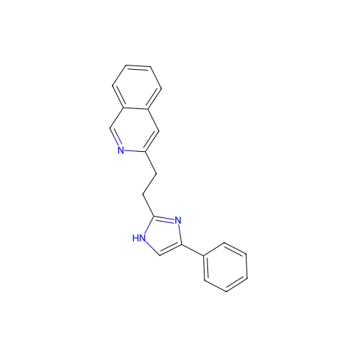 c1ccc(-c2c[nH]c(CCc3cc4ccccc4cn3)n2)cc1